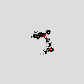 C[C@]12C=CC(=O)C=C1[C@@H](F)C[C@H]1[C@@H]3C[C@H]4O[C@@H](c5cccc(F)c5)O[C@@]4(C(=O)COCNC(=O)CNC(=O)[C@H](Cc4ccccc4)NC(=O)CNC(=O)CN)[C@@]3(C)C[C@H](O)[C@@]12F